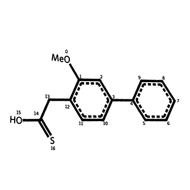 COc1cc(-c2ccccc2)ccc1CC(O)=S